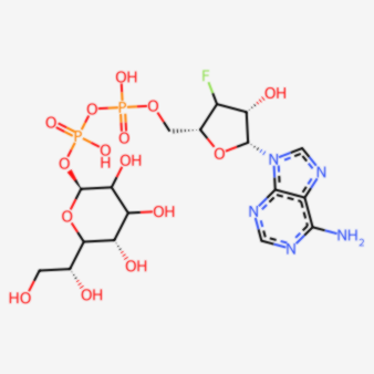 Nc1ncnc2c1ncn2[C@@H]1O[C@H](COP(=O)(O)OP(=O)(O)O[C@@H]2OC([C@H](O)CO)[C@@H](O)C(O)C2O)C(F)[C@@H]1O